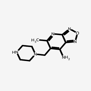 Cc1nc2nonc2c(N)c1CN1CCNCC1